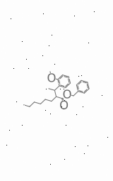 CCCCCCC(C(=O)OCc1ccccc1)C(C)c1ccccc1OC